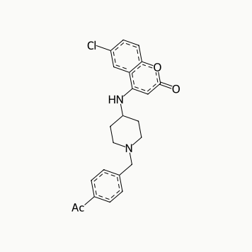 CC(=O)c1ccc(CN2CCC(Nc3cc(=O)oc4ccc(Cl)cc34)CC2)cc1